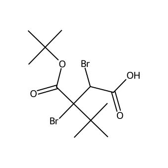 CC(C)(C)OC(=O)C(Br)(C(Br)C(=O)O)C(C)(C)C